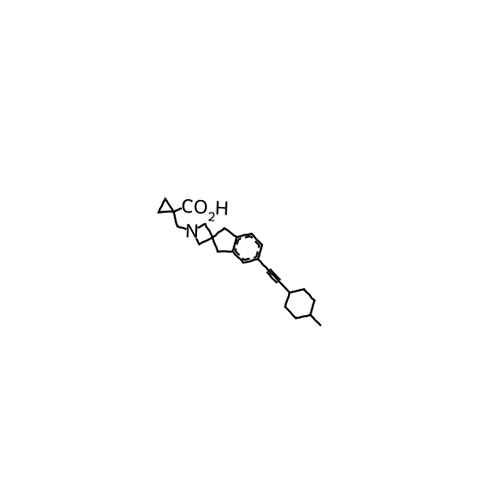 CC1CCC(C#Cc2ccc3c(c2)CC2(C3)CN(CC3(C(=O)O)CC3)C2)CC1